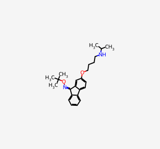 CC(C)NCCCCOc1ccc2c(c1)/C(=N\OC(C)(C)C)c1ccccc1-2